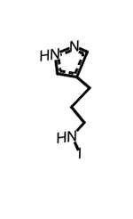 INCCCc1cn[nH]c1